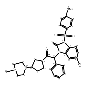 COc1ccc(S(=O)(=O)n2c(=O)n(C(C(=O)N3CCC(N4CCN(C)CC4)C3)c3ccccc3)c3cc(Cl)ccc32)cc1